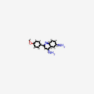 COc1ccc(-c2cc(N)c3cc(N)ccc3n2)cc1